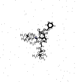 CN/C(=N\O[Si](C)(C)C(C)(C)C)[C@@H]1c2c(cnn2CCNC(=O)OC(C)(C)C)[C@H]2CN1C(=O)N2OCc1ccccc1